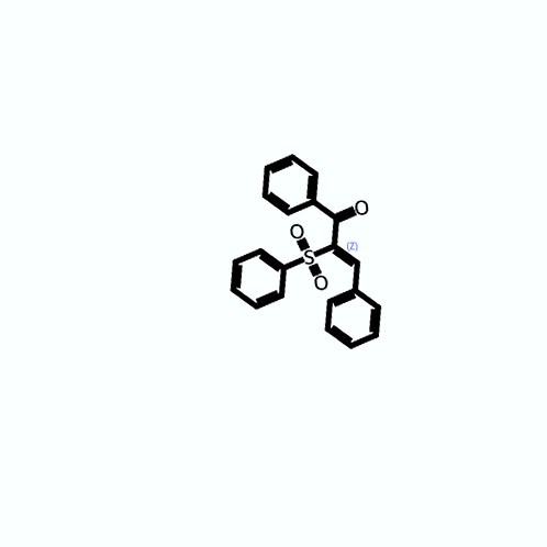 O=C(/C(=C/c1ccccc1)S(=O)(=O)c1ccccc1)c1ccccc1